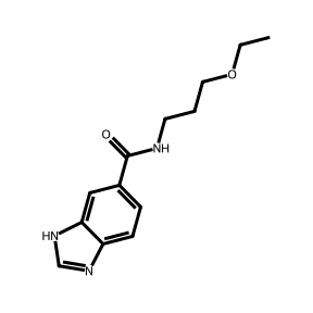 CCOCCCNC(=O)c1ccc2nc[nH]c2c1